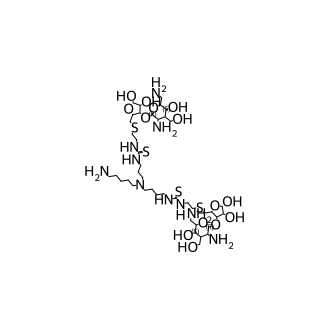 NCCCCCN(CCCCNC(=S)NCCSCC1OC(O)C(O)C1O[C@H]1OC(CN)[C@@H](O)C(CO)C1N)CCCNC(=S)NCCSCC1OC(O)C(O)C1O[C@H]1OC(CN)[C@@H](O)C(CO)C1N